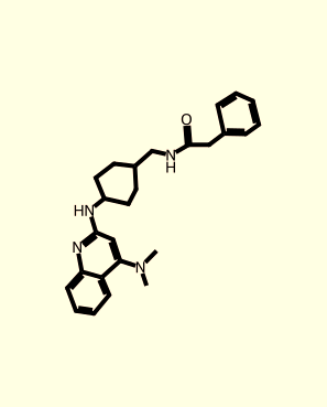 CN(C)c1cc(NC2CCC(CNC(=O)Cc3ccccc3)CC2)nc2ccccc12